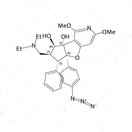 CCN(CC)C[C@H]1[C@@H](O)[C@@]2(O)c3c(cc(OC)nc3OC)O[C@@]2(c2ccc(N=[N+]=[N-])cc2)[C@@H]1c1ccccc1